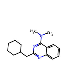 CN(C)c1nc(CC2CCCCC2)nc2ccccc12